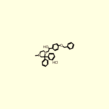 CN1CCN(CC(O)c2ccc(OCc3ccccc3)cc2)C(c2ccccc2)(c2ccccc2)C1.Cl